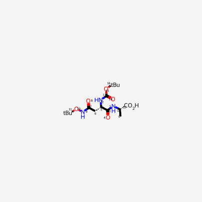 C[C@H](NC(=O)[C@H](CC(=O)NOC(C)(C)C)NC(=O)OC(C)(C)C)C(=O)O